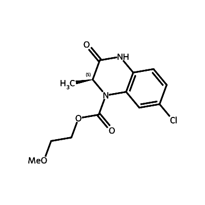 COCCOC(=O)N1c2cc(Cl)ccc2NC(=O)[C@@H]1C